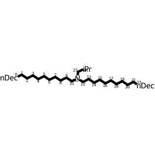 CCCCCCCCCCCCCCCCCCCCN(CCCCCCCCCCCCCCCCCCCC)CC(C)C